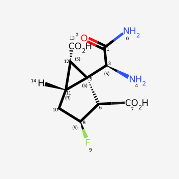 NC(=O)[C@@H](N)[C@@]12C(C(=O)O)[C@@H](F)C[C@@H]1[C@@H]2C(=O)O